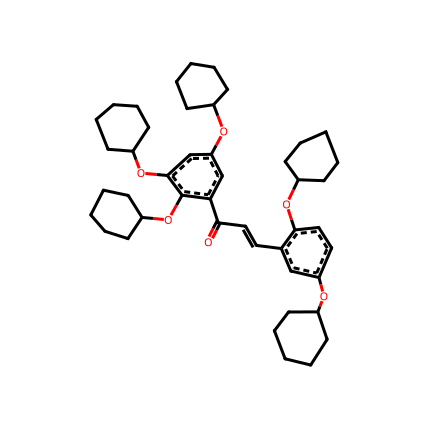 O=C(C=Cc1cc(OC2CCCCC2)ccc1OC1CCCCC1)c1cc(OC2CCCCC2)cc(OC2CCCCC2)c1OC1CCCCC1